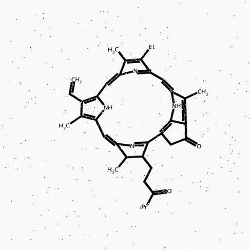 C=Cc1c(C)c2cc3nc(c4c5[nH]c(cc6nc(cc1[nH]2)C(C)=C6CC)c(C)c5C(=O)C4)C(CCC(=O)C(C)C)C3C